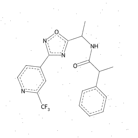 CC(NC(=O)C(C)c1ccccc1)c1nc(-c2ccnc(C(F)(F)F)c2)no1